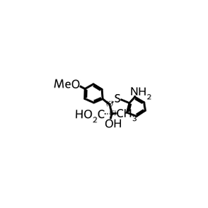 COc1ccc([C@H](Sc2ccccc2N)[C@@](C)(O)C(=O)O)cc1